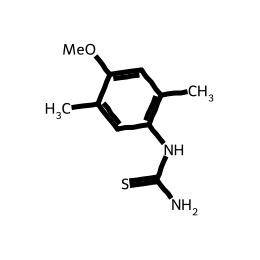 COc1cc(C)c(NC(N)=S)cc1C